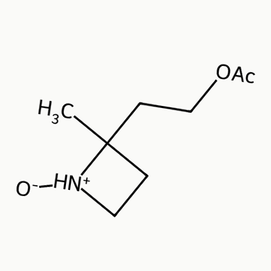 CC(=O)OCCC1(C)CC[NH+]1[O-]